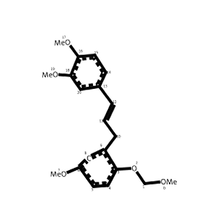 COCOc1ccc(OC)cc1C/C=C/c1ccc(OC)c(OC)c1